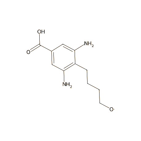 Nc1cc(C(=O)O)cc(N)c1CCCC[O]